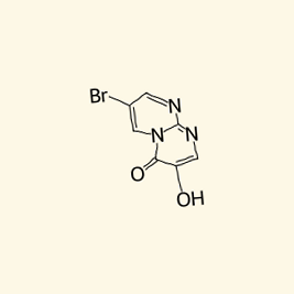 O=c1c(O)cnc2ncc(Br)cn12